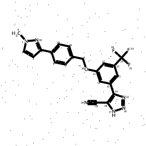 Cn1ccc(-c2ccc(COc3cc(-c4nn[nH]c4C#N)cc(C(F)(F)F)c3)cc2)n1